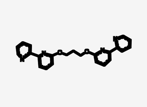 c1ccc(-c2cccc(OCCCOc3cccc(-c4ccccn4)n3)n2)nc1